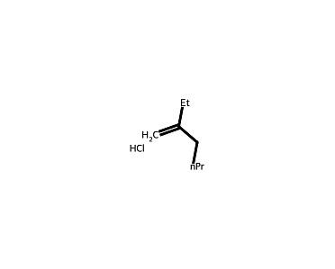 C=C(CC)CCCC.Cl